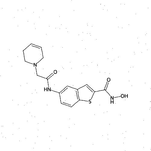 O=C(CN1CC=CCC1)Nc1ccc2sc(C(=O)NO)cc2c1